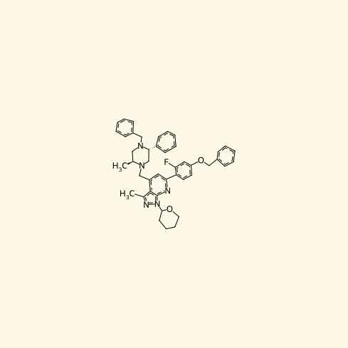 Cc1nn(C2CCCCO2)c2nc(-c3ccc(OCc4ccccc4)cc3F)cc(CN3C[C@@H](c4ccccc4)N(Cc4ccccc4)C[C@@H]3C)c12